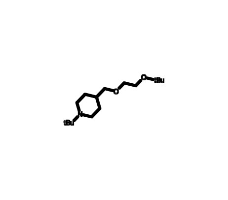 CC(C)(C)OCCOCC1CCN(C(C)(C)C)CC1